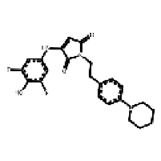 O=C1C=C(Nc2cc(F)c(O)c(F)c2)C(=O)N1CCc1ccc(N2CCCCC2)cc1